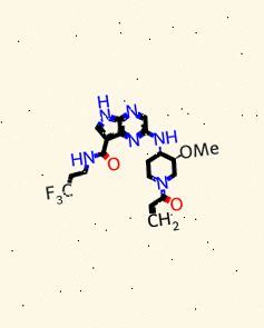 C=CC(=O)N1CC[C@H](Nc2cnc3[nH]cc(C(=O)NCCC(F)(F)F)c3n2)[C@H](OC)C1